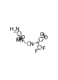 CS(=O)(=O)c1ccc([C@@H](CCN2CCC(CCNS(=O)(=O)c3ccc(N)cc3)CC2)c2cc(F)cc(F)c2)cc1